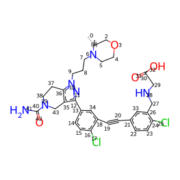 C[C@@H]1COCCN1CCCn1nc(-c2ccc(Cl)c(C#Cc3ccc(Cl)c(CNCC(=O)O)c3)c2)c2c1CCN(C(N)=O)C2